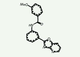 COc1cccc(C(=O)Nc2cccc(-c3nc4ncccc4o3)c2)c1